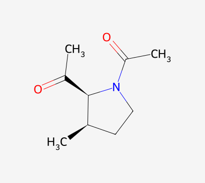 CC(=O)[C@@H]1[C@H](C)CCN1C(C)=O